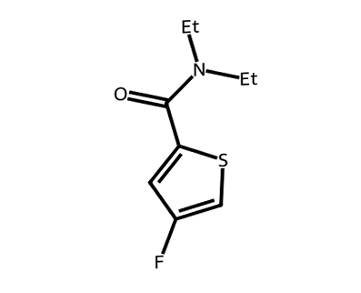 CCN(CC)C(=O)c1cc(F)cs1